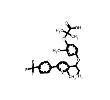 CCC(Oc1ccc(OC(C)(C)C(=O)O)c(C)c1)c1ccc(-c2ccc(C(F)(F)F)cc2)nc1C